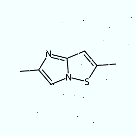 Cc1cn2sc(C)cc2n1